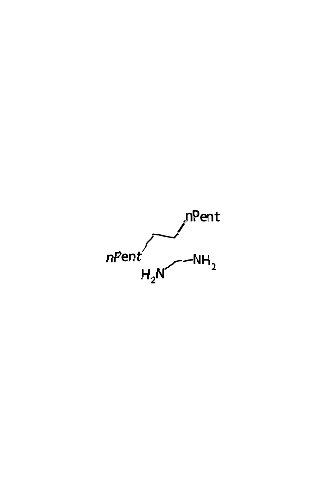 CCCCCCCCCCCC.NCN